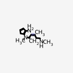 C=C(/C=C(/C)CCNC)N(C)C1=C(N)C=CC1